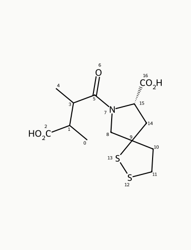 CC(C(=O)O)C(C)C(=O)N1CC2(CCSS2)C[C@H]1C(=O)O